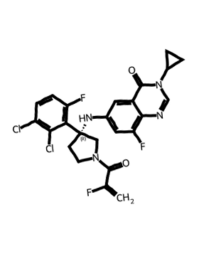 C=C(F)C(=O)N1CC[C@@](Nc2cc(F)c3ncn(C4CC4)c(=O)c3c2)(c2c(F)ccc(Cl)c2Cl)C1